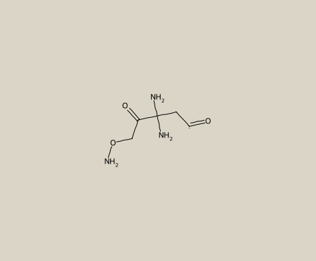 NOCC(=O)C(N)(N)C[C]=O